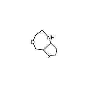 C1COCC2SCCC2N1